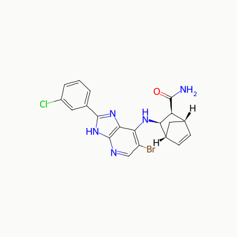 NC(=O)[C@@H]1[C@H](Nc2c(Br)cnc3[nH]c(-c4cccc(Cl)c4)nc23)[C@H]2C=C[C@@H]1C2